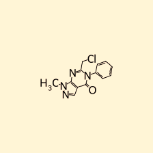 Cn1ncc2c(=O)n(-c3ccccc3)c(CCl)nc21